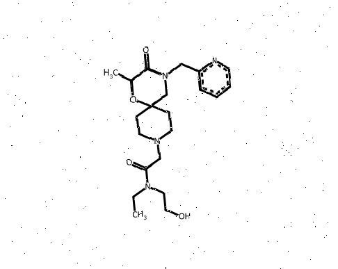 CCN(CCO)C(=O)CN1CCC2(CC1)CN(Cc1ccccn1)C(=O)C(C)O2